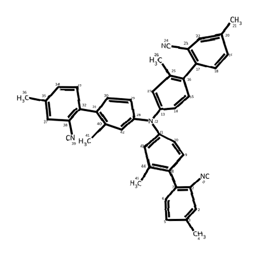 [C-]#[N+]c1cc(C)ccc1-c1ccc(N(c2ccc(-c3ccc(C)cc3C#N)c(C)c2)c2ccc(-c3ccc(C)cc3C#N)c(C)c2)cc1C